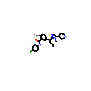 C=C/C=C(/c1ccc(C(F)(F)F)c(C(=O)Nc2ccc(F)cc2)c1)c1ncc(-c2ccncc2)n1C